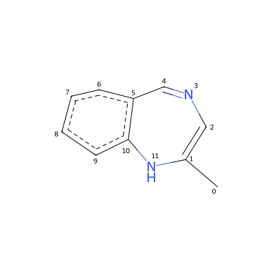 CC1=CN=Cc2ccccc2N1